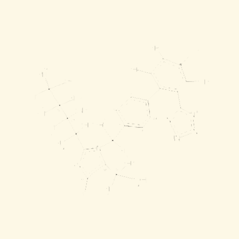 [2H]c1c([2H])c([2H])c(-c2nn[nH]n2)c(-c2ccc(C([2H])([2H])n3c(C([2H])([2H])C([2H])([2H])C([2H])([2H])C([2H])([2H])[2H])nc(Cl)c3C([2H])([2H])O)cc2)c1[2H]